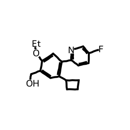 CCOc1cc(-c2ccc(F)cn2)c(C2CCC2)cc1CO